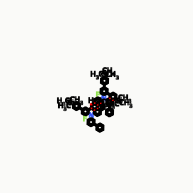 C[Si](C)(C)c1ccc(-c2cc(F)c(N(c3cccc(-c4ccccc4)c3)c3ccc4ccc5c(N(c6cccc(-c7ccccc7)c6)c6c(F)cc(-c7ccc([Si](C)(C)C)cc7)cc6-c6ccc([Si](C)(C)C)cc6)ccc6ccc3c4c65)c(-c3ccc([Si](C)(C)C)cc3)c2)cc1